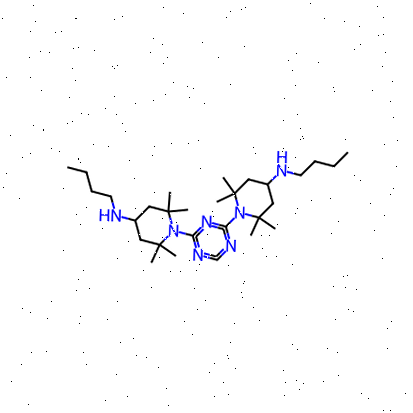 CCCCNC1CC(C)(C)N(c2ncnc(N3C(C)(C)CC(NCCCC)CC3(C)C)n2)C(C)(C)C1